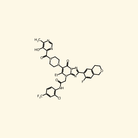 CCc1c(N2CCN(C(=O)c3ncnc(C)c3O)CC2)c(=O)n2nc(-c3cc4c(cc3F)COCC4)nc2n1CC(=O)Nc1ccc(C(F)(F)F)cc1Cl